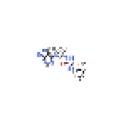 CC(C)Oc1ccccc1NCC(=O)N[C@@H]1CCCN(c2ncnc3[nH]ncc23)C1